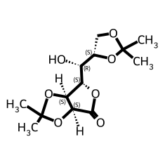 CC1(C)OC[C@@H]([C@@H](O)[C@@H]2OC(=O)[C@H]3OC(C)(C)O[C@@H]23)O1